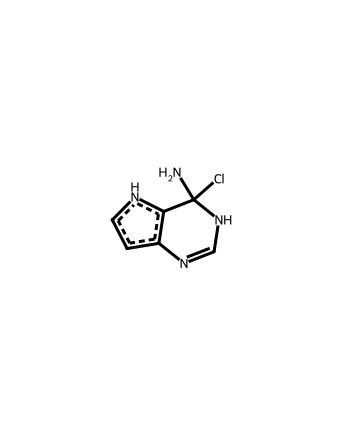 NC1(Cl)NC=Nc2cc[nH]c21